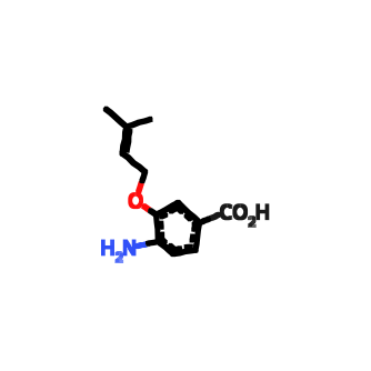 CC(C)=CCOc1cc(C(=O)O)ccc1N